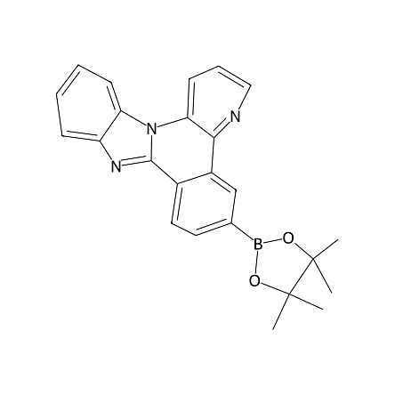 CC1(C)OB(c2ccc3c(c2)c2ncccc2n2c4ccccc4nc32)OC1(C)C